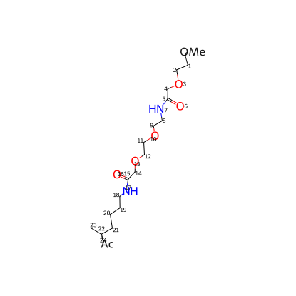 COCCOCC(=O)NCCOCCOCC(=O)NCCCC[C@H](C)C(C)=O